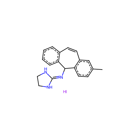 Cc1ccc2c(c1)C=Cc1ccccc1C2N=C1NCCN1.I